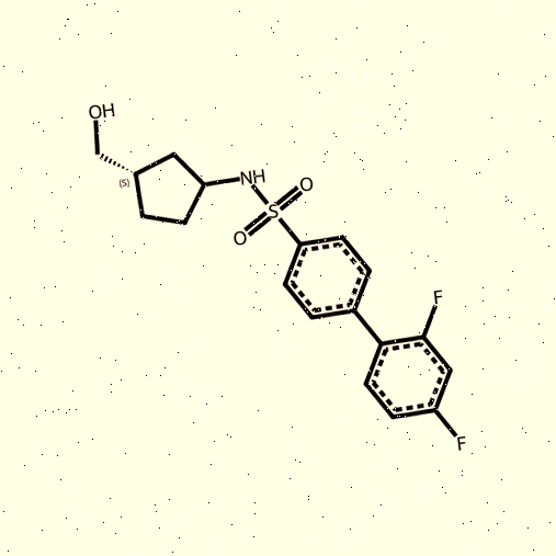 O=S(=O)(NC1CC[C@H](CO)C1)c1ccc(-c2ccc(F)cc2F)cc1